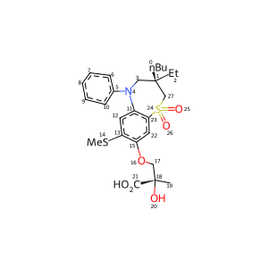 CCCC[C@]1(CC)CN(c2ccccc2)c2cc(SC)c(OC[C@](C)(O)C(=O)O)cc2S(=O)(=O)C1